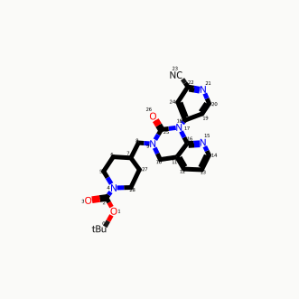 CC(C)(C)OC(=O)N1CCC(CN2Cc3cccnc3N(c3ccnc(C#N)c3)C2=O)CC1